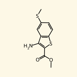 COC(=O)c1sc2ccc(SC)cc2c1N